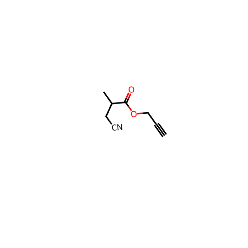 C#CCOC(=O)C(C)CC#N